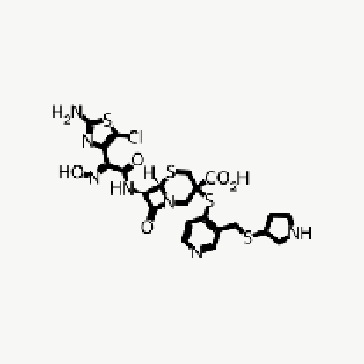 Nc1nc(C(=NO)C(=O)N[C@@H]2C(=O)N3CC(Sc4ccncc4CSC4CCNC4)(C(=O)O)CS[C@H]23)c(Cl)s1